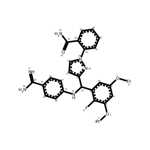 CCOc1cc(OC(C)C)c(F)c(C(Nc2ccc(C(=N)N)cc2)c2ccn(-c3ccccc3C(N)=O)n2)c1